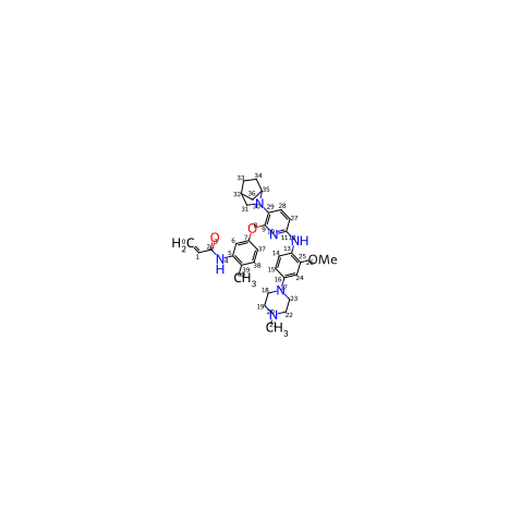 C=CC(=O)Nc1cc(Oc2nc(Nc3ccc(N4CCN(C)CC4)cc3OC)ccc2N2CC3CCC2C3)ccc1C